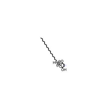 CCCCCCCCCCCCCCCCNS(=O)(=O)OC(=O)/C=C\C(=O)O